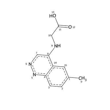 Cc1ccc2nncc(NCC(=O)O)c2c1